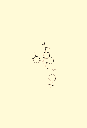 Cc1cc(S(=O)(=O)C23CCN(C(=O)C4CCN(S(C)(=O)=O)CC4)C2CCc2cc(C(F)(C(F)(F)F)C(F)(F)F)ccc23)ccc1F